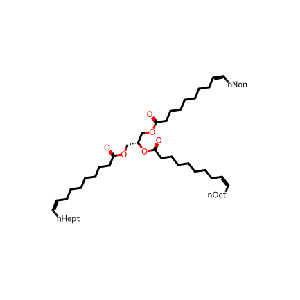 CCCCCCC/C=C\CCCCCCCC(=O)OC[C@H](COC(=O)CCCCCCC/C=C\CCCCCCCCC)OC(=O)CCCCCCC/C=C\CCCCCCCC